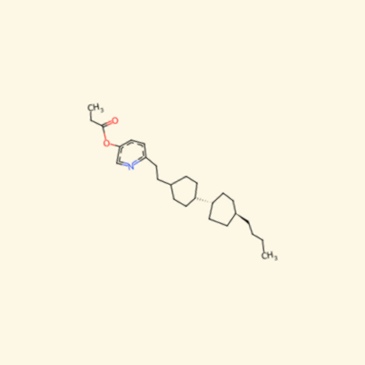 CCCC[C@H]1CC[C@H](C2CCC(CCc3ccc(OC(=O)CC)cn3)CC2)CC1